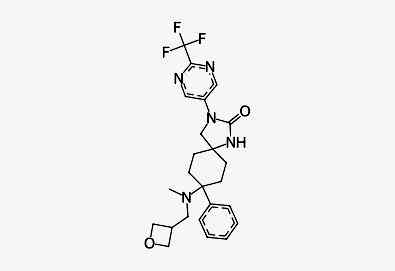 CN(CC1COC1)C1(c2ccccc2)CCC2(CC1)CN(c1cnc(C(F)(F)F)nc1)C(=O)N2